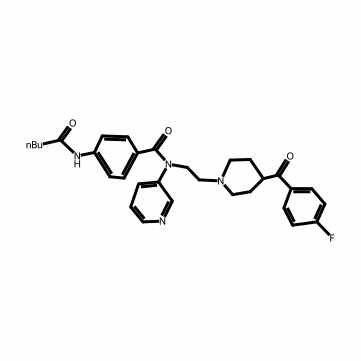 CCCCC(=O)Nc1ccc(C(=O)N(CCN2CCC(C(=O)c3ccc(F)cc3)CC2)c2cccnc2)cc1